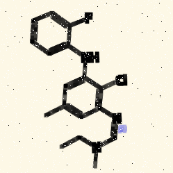 CCN(C)/C=N\c1cc(C)cc(Nc2ccccc2F)c1Cl